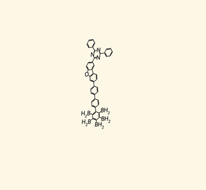 Bc1c(B)c(B)c(-c2ccc(-c3ccc(-c4ccc5c(c4)oc4ccc(-c6nc(-c7ccccc7)nc(-c7ccccc7)n6)cc45)cc3)cc2)c(B)c1B